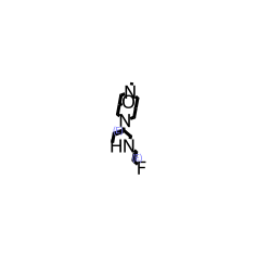 C/C=C(\CN/C=C/F)N1CC2CN(C)CC(C1)O2